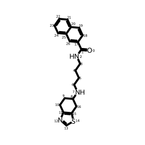 O=C(NCCCCNC1CCc2ncsc2C1)c1ccc2ccccc2c1